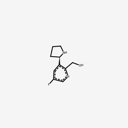 OCc1ncc(F)cc1[C@H]1CCCN1